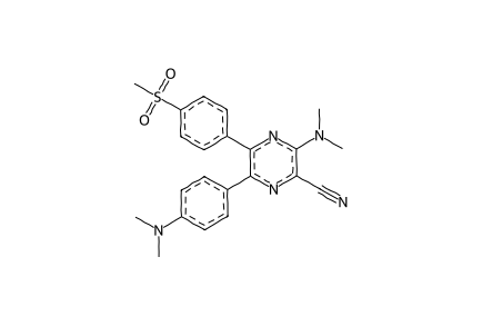 CN(C)c1ccc(-c2nc(C#N)c(N(C)C)nc2-c2ccc(S(C)(=O)=O)cc2)cc1